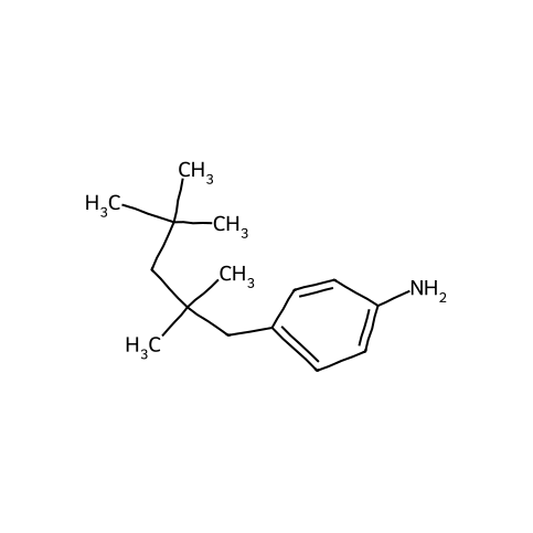 CC(C)(C)CC(C)(C)Cc1ccc(N)cc1